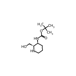 CC(C)(C)OC(=O)N[C@H]1CCCN[C@H]1CO